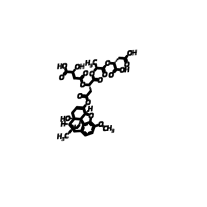 COc1ccc2c3c1O[C@@H]1C(OC(=O)C[C@H](OC(=O)C[C@H](O)C(=O)O)C(=O)O[C@@H](C)C(=O)O[C@H](CC(=O)O)C(=O)O)=CC[C@]4(O)[C@H](C2)N(C)CC[C@@]314